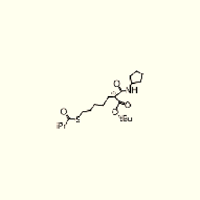 CC(C)C(=O)SCCCCC[C@@H](C(=O)NC1CCCC1)C(=O)OC(C)(C)C